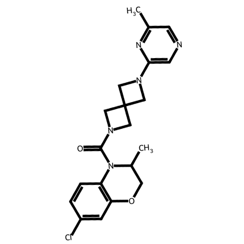 Cc1cncc(N2CC3(CN(C(=O)N4c5ccc(Cl)cc5OCC4C)C3)C2)n1